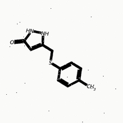 Cc1ccc(SCc2cc(=O)[nH][nH]2)cc1